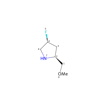 COC[C@@H]1C[C@H](F)CN1